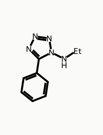 CCNn1nnnc1-c1ccccc1